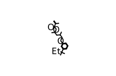 C=C(C)C(=O)OC(C)CC(C)COc1cccc(C(C)(C)CC)c1